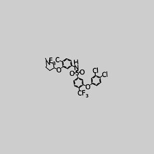 CN1CCC(Oc2cc(NS(=O)(=O)c3ccc(C(F)(F)F)c(Oc4ccc(Cl)c(Cl)c4)c3)ccc2C(F)(F)F)C1